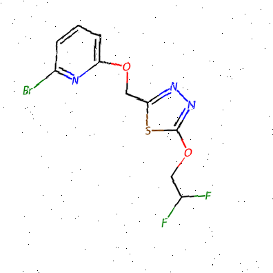 FC(F)COc1nnc(COc2cccc(Br)n2)s1